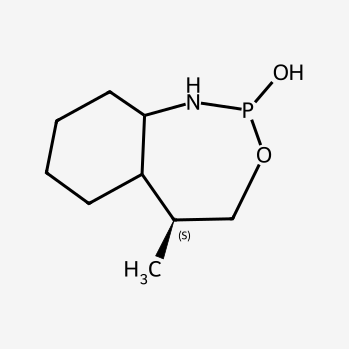 C[C@@H]1COP(O)NC2CCCCC21